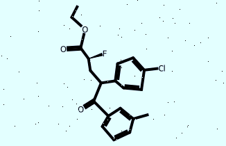 CCOC(=O)[C@@H](F)CC(C(=O)c1cccc(C)c1)c1ccc(Cl)cc1